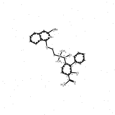 CCCCc1cc2ccccc2c(OCC[N+](C)(C)[C@@H](CC)c2ccc(C(N)=O)c(Cl)c2-c2ccccc2)n1